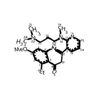 CCc1cc(OC)cc2c1C(=O)CC(c1cccnc1N(C)CCCN(C)C)=N2